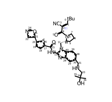 CC(C)(C)/C=C(\C#N)C(=O)N1CCC[C@@H]1Cn1c(NC(=O)c2ccc(-c3cnco3)s2)nc2cc(CNCC(C)(C)O)ccc21